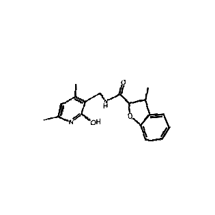 Cc1cc(C)c(CNC(=O)C2Oc3ccccc3C2C)c(O)n1